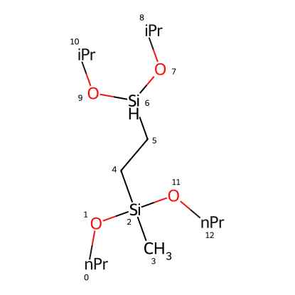 CCCO[Si](C)(CC[SiH](OC(C)C)OC(C)C)OCCC